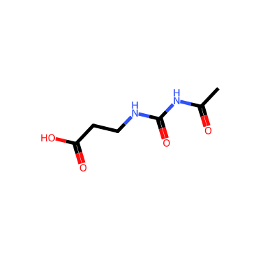 CC(=O)NC(=O)NCCC(=O)O